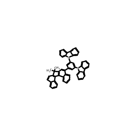 CC1(C)c2ccc3ccccc3c2-c2c1cc(-c1cc(-n3c4ccccc4c4ccccc43)cc(-n3c4ccccc4c4ccccc43)c1)c1ccccc21